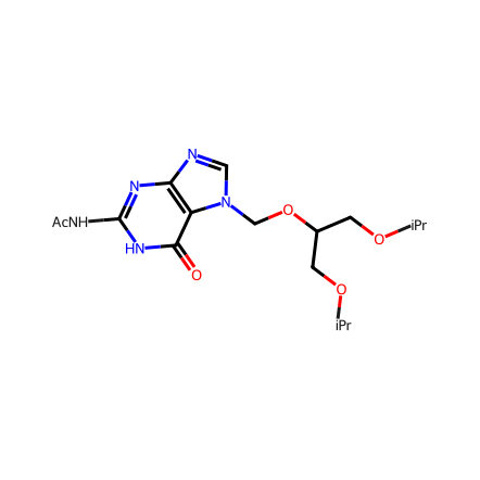 CC(=O)Nc1nc2ncn(COC(COC(C)C)COC(C)C)c2c(=O)[nH]1